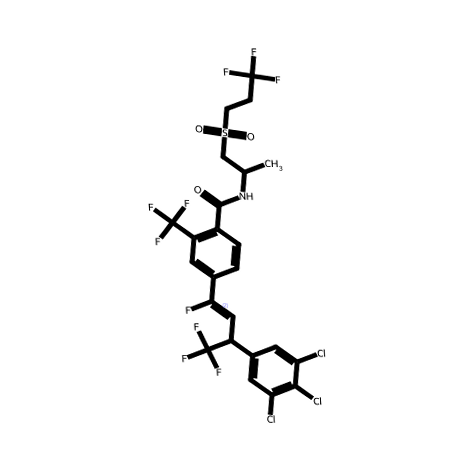 CC(CS(=O)(=O)CCC(F)(F)F)NC(=O)c1ccc(/C(F)=C/C(c2cc(Cl)c(Cl)c(Cl)c2)C(F)(F)F)cc1C(F)(F)F